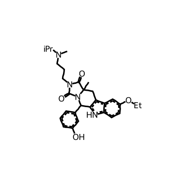 CCOc1ccc2[nH]c3c(c2c1)CC1(C)C(=O)N(CCCN(C)C(C)C)C(=O)N1C3c1cccc(O)c1